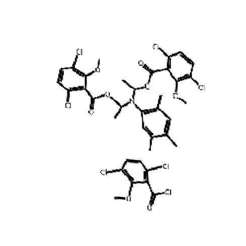 COc1c(Cl)ccc(Cl)c1C(=O)Cl.COc1c(Cl)ccc(Cl)c1C(=O)OC(C)N(c1cc(C)c(C)cc1C)C(C)OC(=O)c1c(Cl)ccc(Cl)c1OC